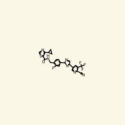 N#Cc1ncc(C2=NC(c3ccc(CNC(=O)c4scnc4C4CC4)c(F)c3)N=C2)cc1C(F)(F)F